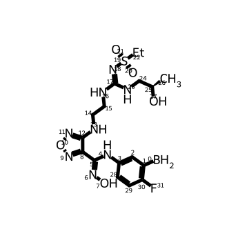 Bc1cc(N/C(=N\O)c2nonc2NCCN/C(=N/S(=O)(=O)CC)NC[C@@H](C)O)ccc1F